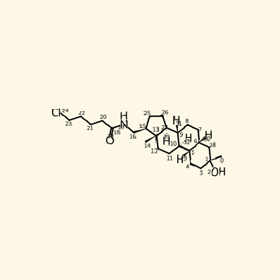 C[C@@]1(O)CC[C@H]2[C@H](CC[C@@H]3[C@@H]2CC[C@]2(C)[C@@H](CNC(=O)CCCCCl)CC[C@@H]32)C1